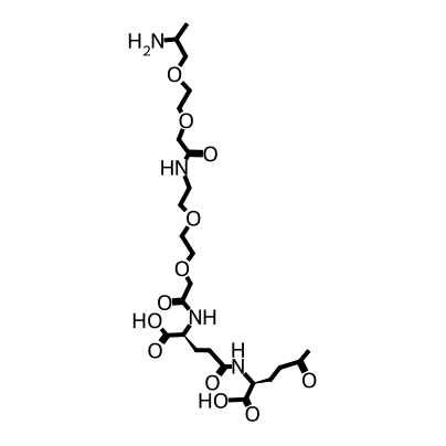 CC(=O)CC[C@H](NC(=O)CC[C@H](NC(=O)COCCOCCNC(=O)COCCOCC(C)N)C(=O)O)C(=O)O